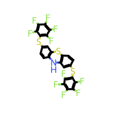 Fc1c(F)c(F)c(Sc2ccc3c(c2)Nc2ccc(Sc4c(F)c(F)c(F)c(F)c4F)cc2S3)c(F)c1F